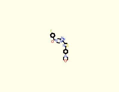 O=C(c1ccc(F)cc1)N1CCn2c(nnc2-c2csc(-c3ccc(N4CCOCC4)cc3)n2)C1